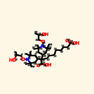 CC(O)CON1C(C)(C)CC(C(CCCCCCCC(=O)O)(C(=O)O)C2CC(C)(C)N(OCC(C)O)C(C)(C)C2)CC1(C)C